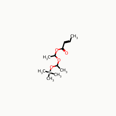 CC=CC(=O)OC(C)OC(C)O[Si](C)(C)C